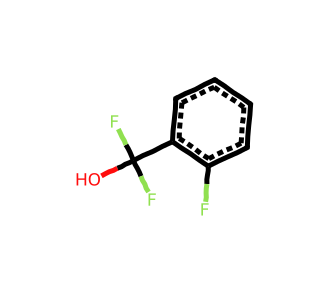 OC(F)(F)c1ccccc1F